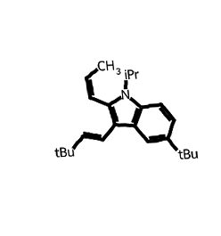 C/C=C\c1c(/C=C/C(C)(C)C)c2cc(C(C)(C)C)ccc2n1C(C)C